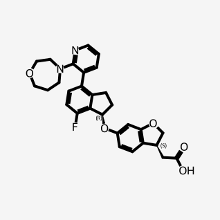 O=C(O)C[C@@H]1COc2cc(O[C@@H]3CCc4c(-c5cccnc5N5CCCOCC5)ccc(F)c43)ccc21